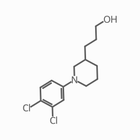 OCCCC1CCCN(c2ccc(Cl)c(Cl)c2)C1